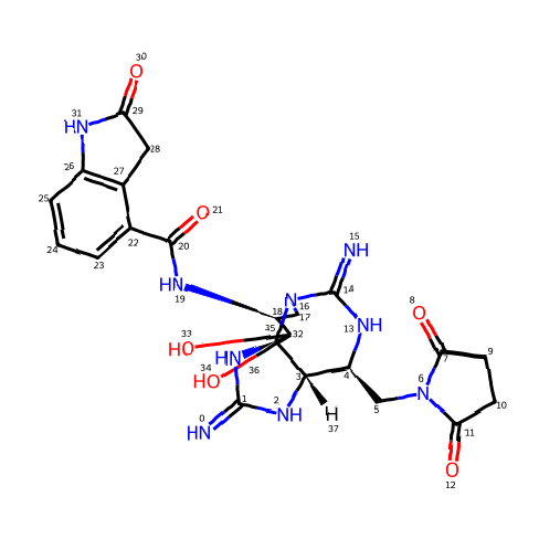 N=C1N[C@H]2[C@H](CN3C(=O)CCC3=O)NC(=N)N3C[C@H](NC(=O)c4cccc5c4CC(=O)N5)C(O)(O)[C@]23N1